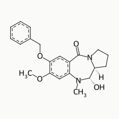 COc1cc2c(cc1OCc1ccccc1)C(=O)N1CCC[C@H]1[C@H](O)N2C